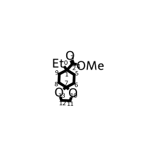 CCC1(C(=O)OC)CCC2(CC1)OCCO2